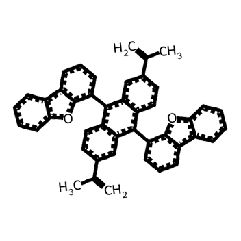 C=C(C)c1ccc2c(-c3cccc4c3oc3ccccc34)c3cc(C(=C)C)ccc3c(-c3cccc4c3oc3ccccc34)c2c1